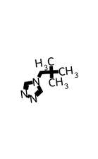 CC(C)(C)Cn1cnnc1